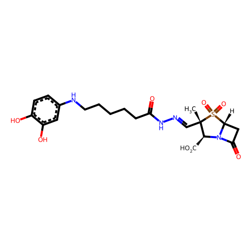 C[C@]1(/C=N/NC(=O)CCCCCNc2ccc(O)c(O)c2)[C@H](C(=O)O)N2C(=O)C[C@H]2S1(=O)=O